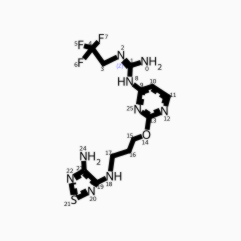 N/C(=N/CC(F)(F)F)Nc1ccnc(OCCCNc2nsnc2N)n1